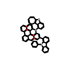 C1=CCc2c(oc3cccc(N(c4cccc(-c5cccc6c7ccccc7n(-c7ccccc7)c56)c4)c4ccccc4-c4cccc5cccc(-c6ccccc6)c45)c23)C=C1